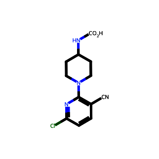 N#Cc1ccc(Cl)nc1N1CCC(NC(=O)O)CC1